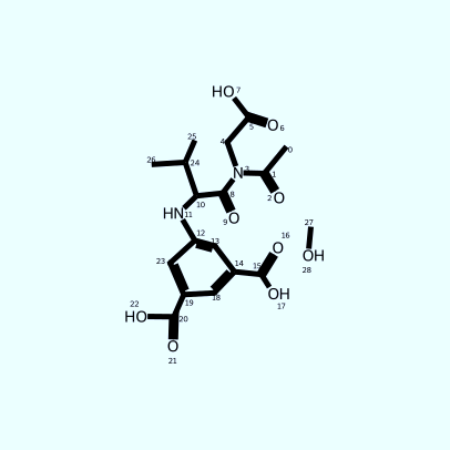 CC(=O)N(CC(=O)O)C(=O)C(Nc1cc(C(=O)O)cc(C(=O)O)c1)C(C)C.CO